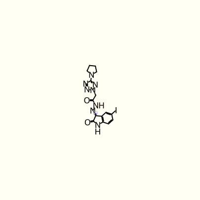 O=C(Cn1nnc(N2CCCC2)n1)N/N=C1/C(=O)Nc2ccc(I)cc21